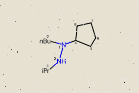 CCCCN(NC(C)C)C1CCCC1